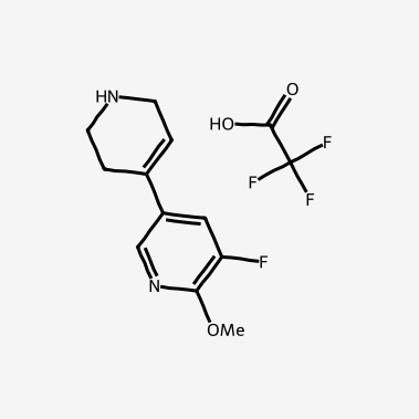 COc1ncc(C2=CCNCC2)cc1F.O=C(O)C(F)(F)F